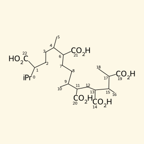 CC(C)C(CCC(C)C(CCC(C)C(CC(C(=O)O)C(C)C(C)C(=O)O)C(=O)O)C(=O)O)C(=O)O